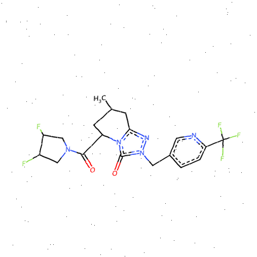 CC1Cc2nn(Cc3ccc(C(F)(F)F)nc3)c(=O)n2C(C(=O)N2CC(F)C(F)C2)C1